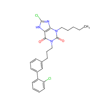 CCCCCn1c(=O)n(CCCc2cccc(-c3ccccc3Cl)c2)c(=O)c2[nH]c(Cl)nc21